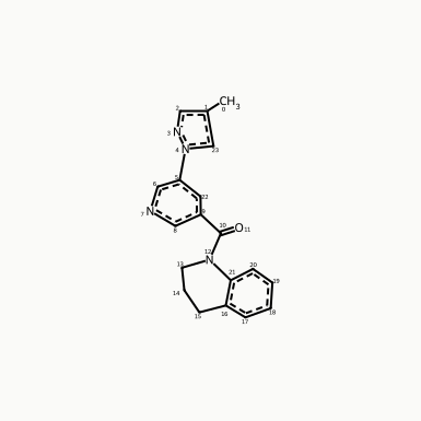 Cc1cnn(-c2cncc(C(=O)N3CCCc4ccccc43)c2)c1